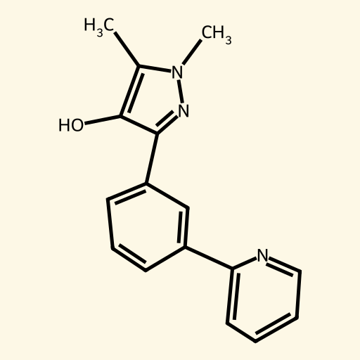 Cc1c(O)c(-c2cccc(-c3ccccn3)c2)nn1C